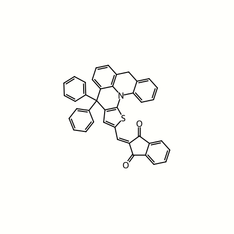 O=C1C(=Cc2cc3c(s2)N2c4ccccc4Cc4cccc(c42)C3(c2ccccc2)c2ccccc2)C(=O)c2ccccc21